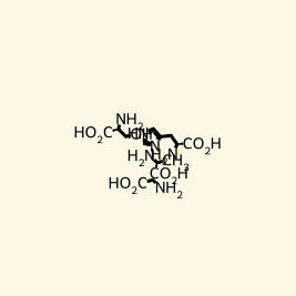 C[C@H](N)C(=O)O.NCC(=O)O.N[C@@H](CO)C(=O)O.N[C@@H](Cc1c[nH]cn1)C(=O)O